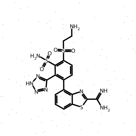 N=C(N)c1nc2c(-c3ccc(S(=O)(=O)CCN)c(S(N)(=O)=O)c3-c3nn[nH]n3)cccc2s1